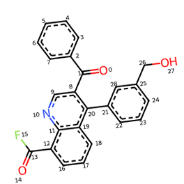 O=C(c1ccccc1)c1cnc2c(C(=O)F)cccc2c1-c1cccc(CO)c1